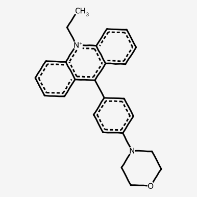 CC[n+]1c2ccccc2c(-c2ccc(N3CCOCC3)cc2)c2ccccc21